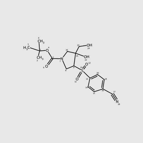 CC(C)(C)OC(=O)N1CC(S(=O)(=O)c2ccc(C#N)cc2)C(O)(CO)C1